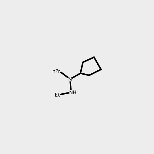 CCCN(NCC)C1CCCC1